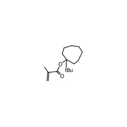 C=C(C)C(=O)OC1(C(C)(C)C)CCCCCCC1